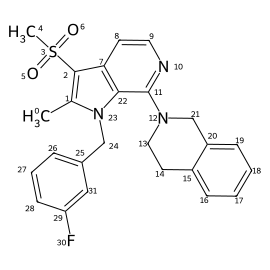 Cc1c(S(C)(=O)=O)c2ccnc(N3CCc4ccccc4C3)c2n1Cc1cccc(F)c1